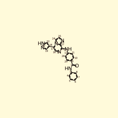 O=C(Nc1ccccc1)c1ccc(Nc2ncc(-c3cn[nH]c3)n3ccnc23)cc1